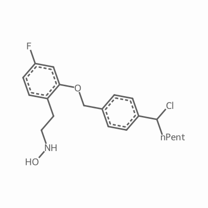 CCCCCC(Cl)c1ccc(COc2cc(F)ccc2CCNO)cc1